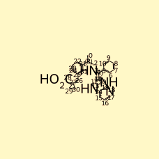 C[C@@H](CN[C@H](c1ccccc1)[C@H]1CNc2cccnc2N1)c1cccc(CC2(C(=O)O)CC2)c1